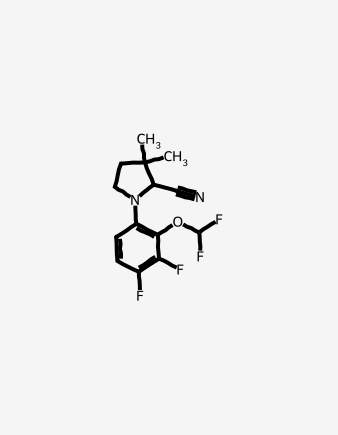 CC1(C)CCN(c2ccc(F)c(F)c2OC(F)F)C1C#N